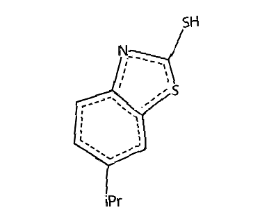 CC(C)c1ccc2nc(S)sc2c1